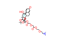 CN(C)CCOCCOC(=O)COCC(=O)OCC(=O)[C@@]12OC(C)(C)O[C@@H]1CC1C3CCC4=CC(=O)C=CC4(C)[C@@]3(F)[C@@H](O)CC12C